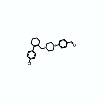 O=[C]c1ccc(N2CCN(CC3=C(c4ccc(Cl)cc4)CCCC3)CC2)cc1